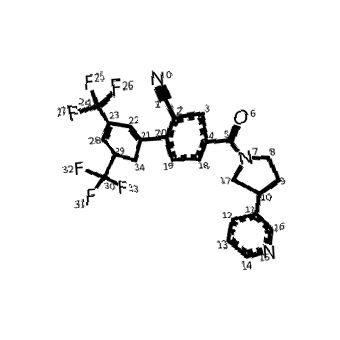 N#Cc1cc(C(=O)N2CCC(c3cccnc3)C2)ccc1C1=CC(C(F)(F)F)=CC(C(F)(F)F)C1